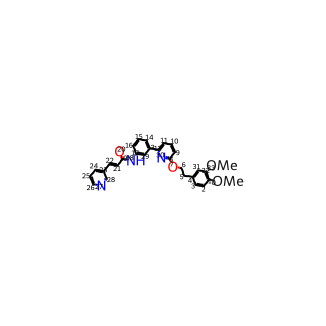 COc1ccc(CCOc2cccc(-c3cccc(NC(=O)/C=C/c4cccnc4)c3)n2)cc1OC